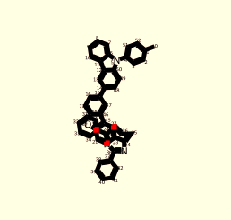 Cc1ccc(-n2c3ccccc3c3cc(-c4ccc5oc6ccc(C7=C\C=C\C(c8ccccc8)=N/C(c8ccccc8)=N\7)cc6c5c4)ccc32)cc1